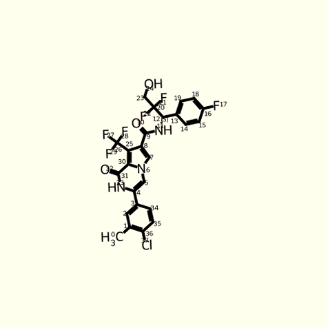 Cc1cc(-c2cn3cc(C(=O)N[C@@H](c4ccc(F)cc4)C(F)(F)CO)c(C(F)(F)F)c3c(=O)[nH]2)ccc1Cl